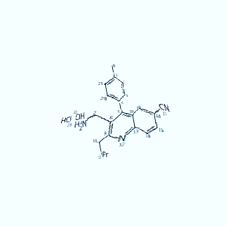 Cc1ccc(-c2c(CN)c(CC(C)C)nc3ccc(C#N)cc23)cc1.Cl.Cl